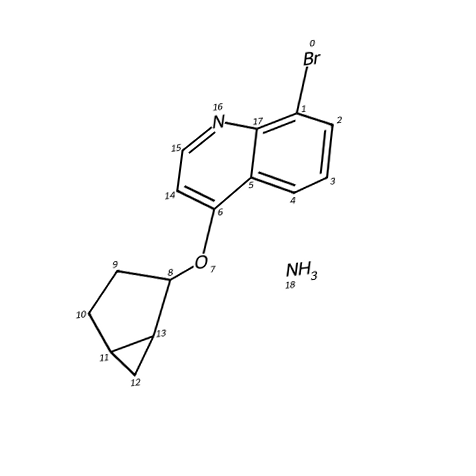 Brc1cccc2c(OC3CCC4CC43)ccnc12.N